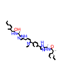 C=CC[C@H](/C=C\C)[C@@H](C)C(=O)N[C@@H](C)c1ncc(C(=C)\C=C/C(=C\C)C(/C=C\Cc2cnc([C@H](C)N[C@H](O)CC(=C)/C=C\C=C/C)[nH]2)=N\C=C)[nH]1